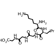 CC(C)C[C@H](NC(=O)[C@@H](N)CCCCN)C(=O)NCC(=O)NCC(=O)NCC(=O)O